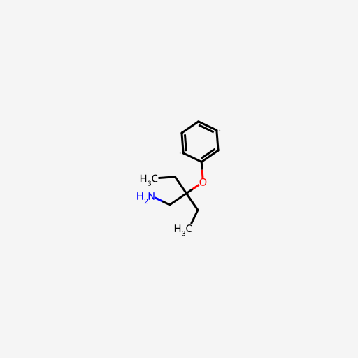 CCC(CC)(CN)Oc1[c]cc[c]c1